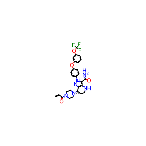 C=CC(=O)N1CCN([C@@H]2CCNc3c2nn(-c2ccc(Oc4cccc(OC(F)(F)F)c4)cc2)c3C(N)=O)CC1